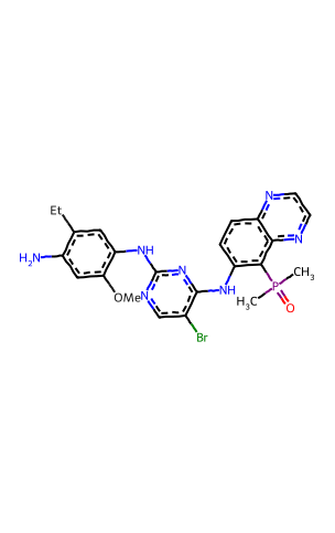 CCc1cc(Nc2ncc(Br)c(Nc3ccc4nccnc4c3P(C)(C)=O)n2)c(OC)cc1N